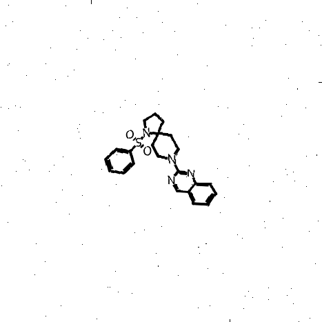 O=S(=O)(c1ccccc1)N1CCCC12CCN(c1ncc3ccccc3n1)CC2